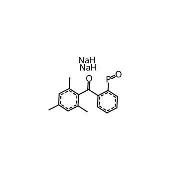 Cc1cc(C)c(C(=O)c2ccccc2P=O)c(C)c1.[NaH].[NaH]